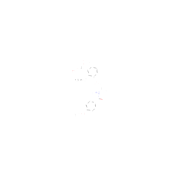 COc1c(OC[C@@H](C)NC(=O)c2ccc(OC(F)(F)F)cc2)ccc2c1B(O)OC2